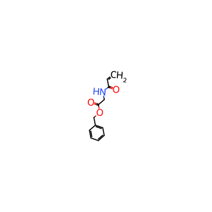 C=CC(=O)NCC(=O)OCc1ccccc1